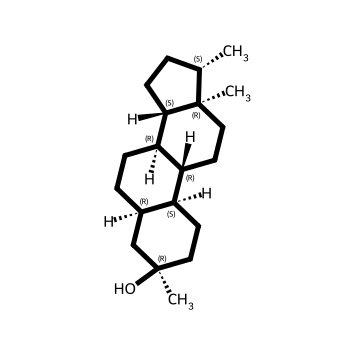 C[C@H]1CC[C@H]2[C@@H]3CC[C@@H]4C[C@](C)(O)CC[C@@H]4[C@H]3CC[C@]12C